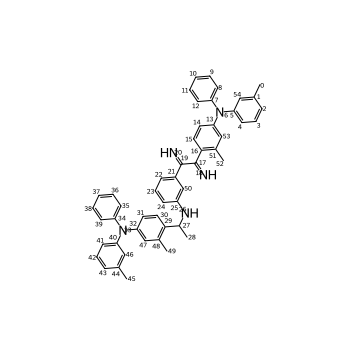 Cc1cccc(N(c2ccccc2)c2ccc(C(=N)C(=N)c3cccc(NC(C)c4ccc(N(c5ccccc5)c5cccc(C)c5)cc4C)c3)c(C)c2)c1